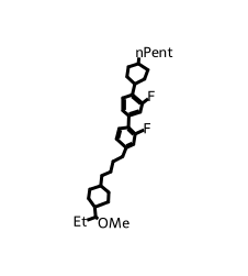 CCCCCC1CCC(c2ccc(-c3ccc(CCCCC4CCC(C(CC)OC)CC4)cc3F)cc2F)CC1